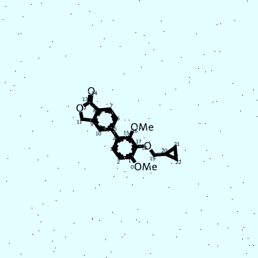 COc1ccc(-c2ccc3c(c2)COC3=O)c(OC)c1OCC1CC1